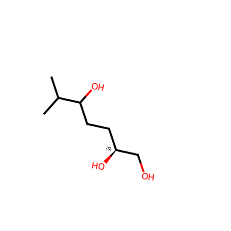 CC(C)C(O)CC[C@H](O)CO